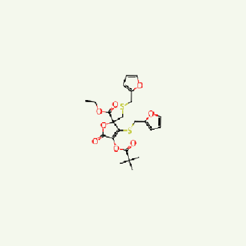 CCOC(=O)C1(CSCc2ccco2)OC(=O)C(OC(=O)C(C)(C)C)=C1SCc1ccco1